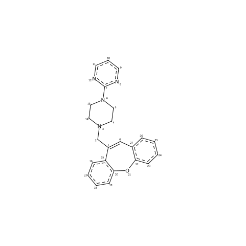 C1=C(CN2CCN(c3ncccn3)CC2)c2ccccc2Oc2ccccc21